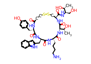 C[C@@H](O)[C@@H]1NC(=O)[C@H](CCCCN)NC(=O)[C@@H](Cc2cc3ccccc3[nH]2)NC(=O)[C@H](Cc2ccc(O)cc2)NC(=O)CCSSC[C@@H](C(=O)N[C@H](CO)[C@@H](C)O)NC1=O